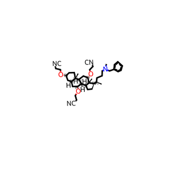 [C-]#[N+]CCO[C@@H]1CC[C@@]2(C)[C@@H](C1)C[C@@H](OCCC#N)[C@@H]1[C@@H]2C[C@H](OCC[N+]#[C-])[C@]2(C)[C@@H]([C@H](C)CCCN(C)Cc3ccccc3)CC[C@@H]12